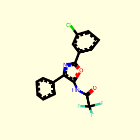 O=C(Nc1oc(-c2cccc(Cl)c2)nc1-c1ccccc1)C(F)(F)F